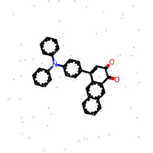 O=C1C=C(c2ccc(N(c3ccccc3)c3ccccc3)cc2)c2cc3ccccc3cc2C1=O